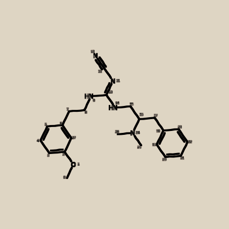 COc1cccc(CCN/C(=N\C#N)NCC(Cc2ccccc2)N(C)C)c1